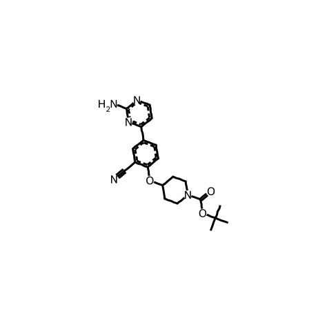 CC(C)(C)OC(=O)N1CCC(Oc2ccc(-c3ccnc(N)n3)cc2C#N)CC1